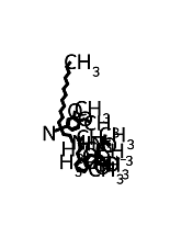 CCCCCCCCCCCCC(C#N)(CCCN(C)CCc1ccccc1OC(O[N+](=O)[O-])(C(C)(C)C)C(C)(C)NC(C)=O)c1ccc(OC)c(OC)c1